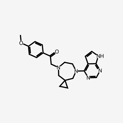 COc1ccc(C(=O)CN2CCN(c3ncnc4[nH]ccc34)CC3(CC3)C2)cc1